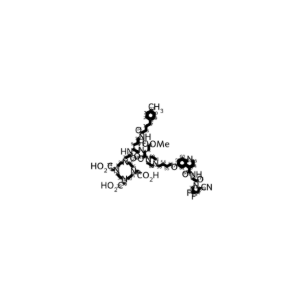 COC(=O)C[C@H](NC(=O)[C@H](CCCNC(=O)CCCc1ccc(C)cc1)NC(=O)CN1CCN(CC(=O)O)CCN(CC(=O)O)CCN(CC(=O)O)CC1)C(=O)N1CCN(CCCCOc2ccc3nccc(C(=O)NCC(=O)N4CC(F)(F)C[C@@H]4C#N)c3c2)CC1